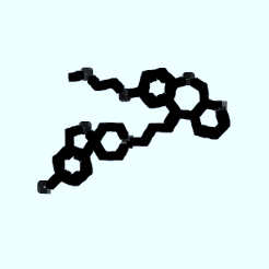 COCCOc1ccc2c(c1)C(=CCCN1CCC3(CC1)OCc1cc(Cl)ccc13)C1C=CC=NC1CO2